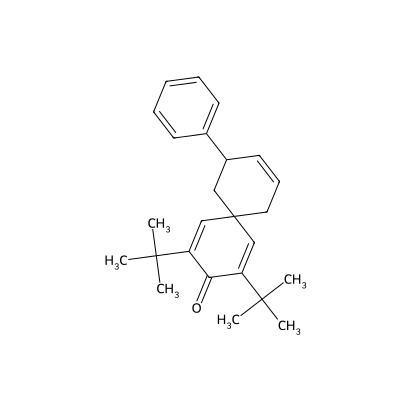 CC(C)(C)C1=CC2(C=C(C(C)(C)C)C1=O)CC=CC(c1ccccc1)C2